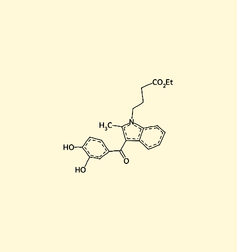 CCOC(=O)CCCn1c(C)c(C(=O)c2ccc(O)c(O)c2)c2ccccc21